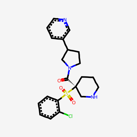 O=C(N1CCC(c2cccnc2)C1)[C@]1(S(=O)(=O)c2ccccc2Cl)CCCNC1